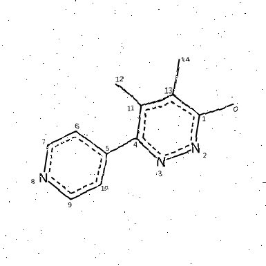 Cc1nnc(-c2ccncc2)c(C)c1C